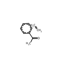 C=C.CC(=O)c1ccccc1